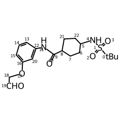 CC(C)(C)S(=O)(=O)NC1CCC(C(=O)Nc2cccc(OCC=O)c2)CC1